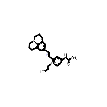 CC(=O)Nc1cc[n+](CCS)c(/C=C/c2cc3c4c(c2)CCCN4CCC3)c1